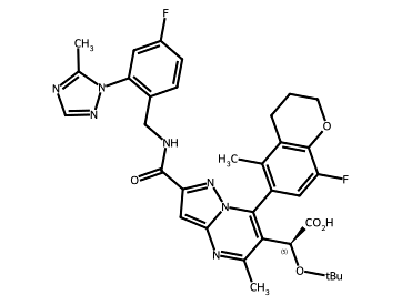 Cc1nc2cc(C(=O)NCc3ccc(F)cc3-n3ncnc3C)nn2c(-c2cc(F)c3c(c2C)CCCO3)c1[C@H](OC(C)(C)C)C(=O)O